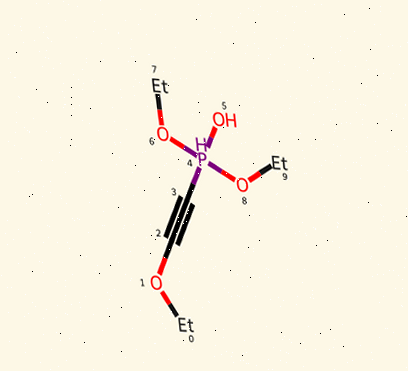 CCOC#C[PH](O)(OCC)OCC